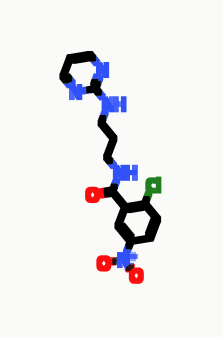 O=C(NCCCNc1ncccn1)c1cc([N+](=O)[O-])ccc1Cl